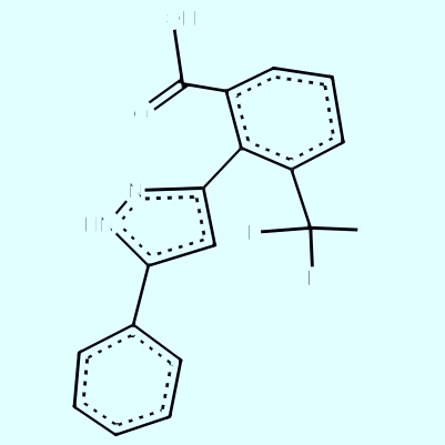 O=C(O)c1cccc(C(F)(F)F)c1-c1cc(-c2ccccc2)[nH]n1